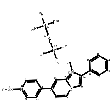 CCCCCC[n+]1ccc(-c2ccn3cc(-c4ccccc4)[n+](C)c3c2)cc1.F[B-](F)(F)F.F[B-](F)(F)F